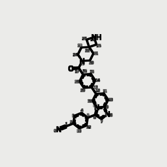 N#Cc1ccc(-c2cnc3ccc(-c4ccc(C(=O)N5CCC6(CC5)CNC6)cc4)cn23)cc1